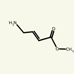 COC(=O)/C=C/CN